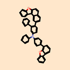 c1ccc(-c2cc(N(c3ccccc3)c3ccc(-c4cccc5c4oc4ccccc45)cc3)ccc2-c2ccc3ccc4oc5ccccc5c4c3c2)cc1